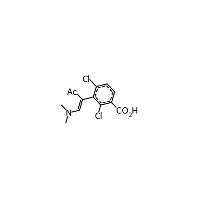 CC(=O)/C(=C\N(C)C)c1c(Cl)ccc(C(=O)O)c1Cl